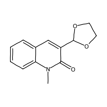 Cn1c(=O)c(C2OCCO2)cc2ccccc21